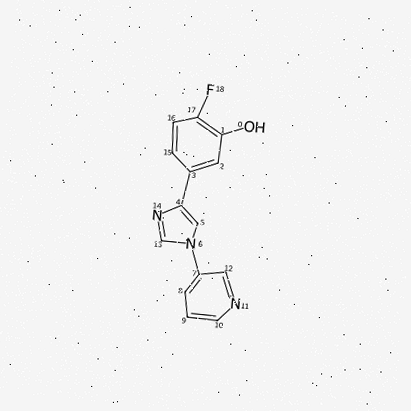 Oc1cc(-c2cn(-c3cccnc3)cn2)ccc1F